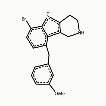 COc1cccc(Cc2ccc(Br)c3[nH]c4c(c23)CNCC4)c1